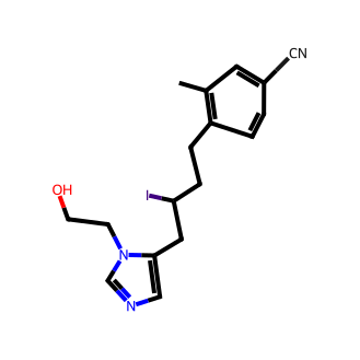 Cc1cc(C#N)ccc1CCC(I)Cc1cncn1CCO